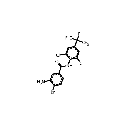 Nc1cc(C(=O)Nc2c(Cl)cc(C(F)(C(F)(F)F)C(F)(F)F)cc2Cl)ccc1Br